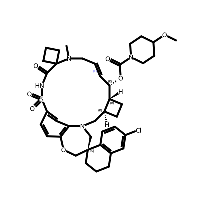 COC1CCN(C(=O)O[C@H]2/C=C/CN(C)C3(CCC3)C(=O)NS(=O)(=O)c3ccc4c(c3)N(C[C@@H]3CC[C@H]32)C[C@@]2(CCCc3cc(Cl)ccc32)CO4)CC1